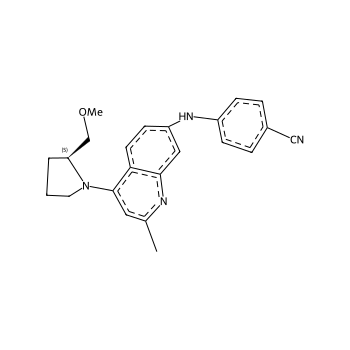 COC[C@@H]1CCCN1c1cc(C)nc2cc(Nc3ccc(C#N)cc3)ccc12